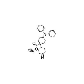 CC(C)(C)OC(=O)[N+]1(C2CCNCC2)CCC(N(c2ccccc2)c2ccccc2)CC1